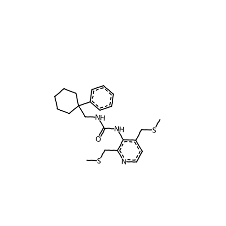 CSCc1ccnc(CSC)c1NC(=O)NCC1(c2ccccc2)CCCCC1